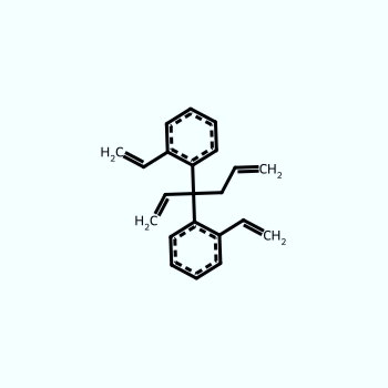 C=CCC(C=C)(c1ccccc1C=C)c1ccccc1C=C